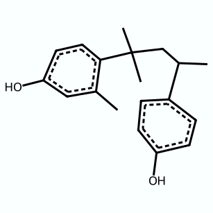 Cc1cc(O)ccc1C(C)(C)CC(C)c1ccc(O)cc1